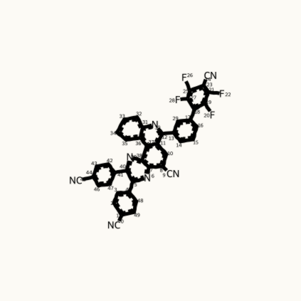 N#Cc1ccc(-c2nc3c(C#N)cc4c(-c5cccc(-c6c(F)c(F)c(C#N)c(F)c6F)c5)nc5ccccc5c4c3nc2-c2ccc(C#N)cc2)cc1